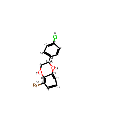 Clc1ccc([C@@H]2COc3c(Br)cccc3O2)cc1